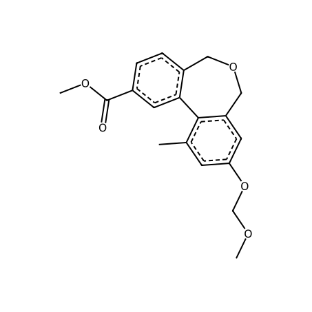 COCOc1cc(C)c2c(c1)COCc1ccc(C(=O)OC)cc1-2